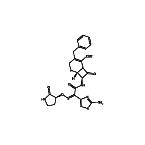 Nc1nc(/C(=N/O[C@H]2CCNC2=O)C(=O)N[C@@H]2C(=O)N3C(C(=O)[O-])=C(C[n+]4ccccc4)CS[C@@H]23)cs1